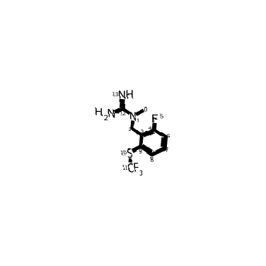 CN(Cc1c(F)cccc1SC(F)(F)F)C(=N)N